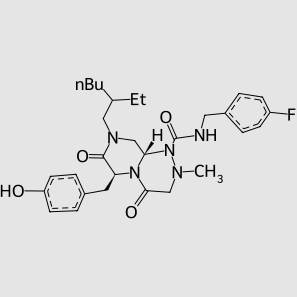 CCCCC(CC)CN1C[C@H]2N(C(=O)CN(C)N2C(=O)NCc2ccc(F)cc2)[C@@H](Cc2ccc(O)cc2)C1=O